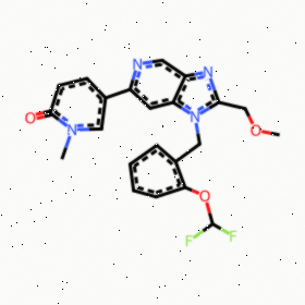 COCc1nc2cnc(-c3ccc(=O)n(C)c3)cc2n1Cc1ccccc1OC(F)F